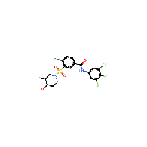 CC1CN(S(=O)(=O)c2cc(C(=O)Nc3cc(F)c(F)c(Cl)c3)ccc2Cl)CCC1O